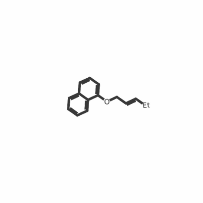 CCC=CCOc1cccc2ccccc12